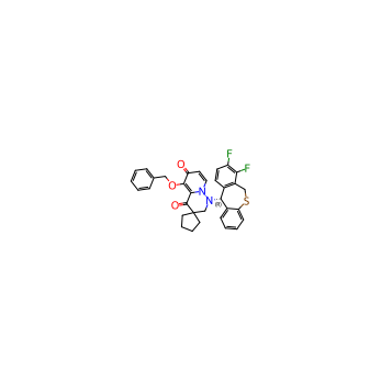 O=C1c2c(OCc3ccccc3)c(=O)ccn2N([C@H]2c3ccccc3SCc3c2ccc(F)c3F)CC12CCCC2